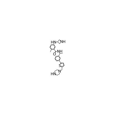 Cc1ccc(NC2CNC2)cc1C(=O)NC(C)c1cccc(-c2ccc(CN3CCNCC3)s2)c1